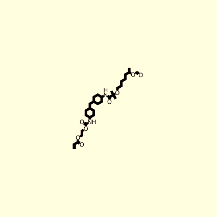 C=CC(=O)OCCOC(=O)NC1CCC(CC2CCC(NC(=O)C(C)(C)OCCCCCC(C)OC=O)CC2)CC1